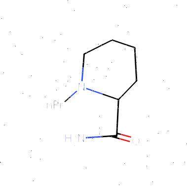 CCCN1CC[CH]CC1C(N)=O